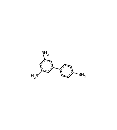 Bc1ccc(-c2cc(B)cc(B)c2)cc1